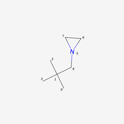 CC(C)(C)CN1CC1